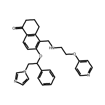 O=C1CCCc2c1ccc(OC(Cn1ccnc1)c1ccccc1)c2CNCCOc1ccncc1